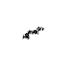 CC(C)Oc1cc(Nc2ccc(C(=O)Nc3nc(-c4ccc(OC(C)C)c(C(F)(F)F)c4)ns3)cc2)ncn1